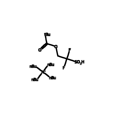 CC(C)(C)C(=O)OCC(F)(F)S(=O)(=O)O.CCCC[N+](CCCC)(CCCC)CCCC